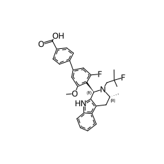 COc1cc(-c2ccc(C(=O)O)cc2)cc(F)c1[C@@H]1c2[nH]c3ccccc3c2C[C@@H](C)N1CC(C)(C)F